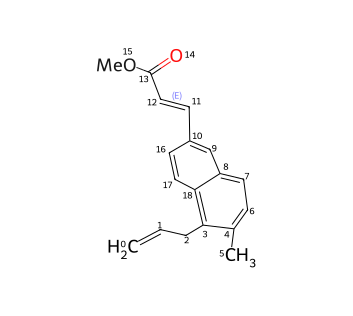 C=CCc1c(C)ccc2cc(/C=C/C(=O)OC)ccc12